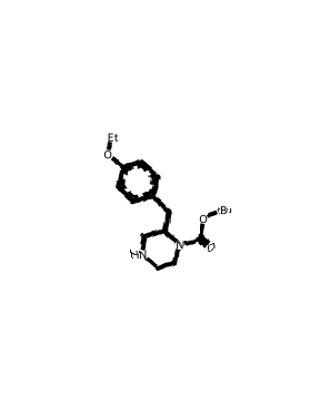 CCOc1ccc(CC2CNCCN2C(=O)OC(C)(C)C)cc1